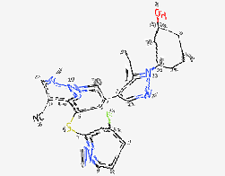 Cc1c(-c2cc(Sc3ncccc3F)c3c(C#N)cnn3c2)cnn1[C@@H]1CCC[C@H](O)C1